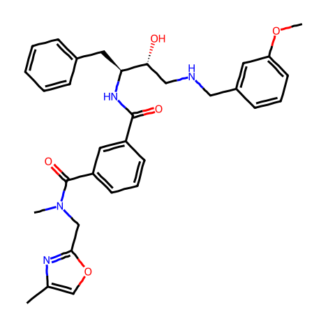 COc1cccc(CNC[C@@H](O)[C@H](Cc2ccccc2)NC(=O)c2cccc(C(=O)N(C)Cc3nc(C)co3)c2)c1